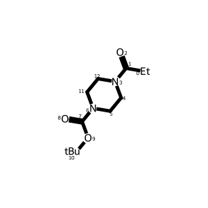 CCC(=O)N1CCN(C(=O)OC(C)(C)C)CC1